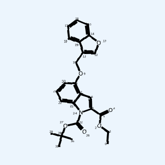 CCOC(=O)c1cc2c(OCc3coc4ccccc34)cccc2n1C(=O)OC(C)(C)C